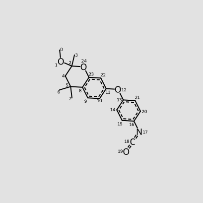 COC1(C)CC(C)(C)c2ccc(Oc3ccc(N=C=O)cc3)cc2O1